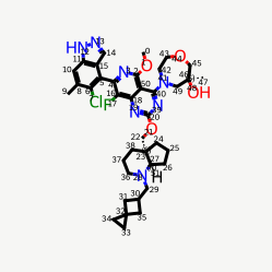 COc1nc(-c2c(Cl)c(C)cc3[nH]ncc23)c(F)c2nc(OC[C@]34CCC[C@H]3N(CC3CC5(CC5)C3)CCC4)nc(N3CCOC[C@@](C)(O)C3)c12